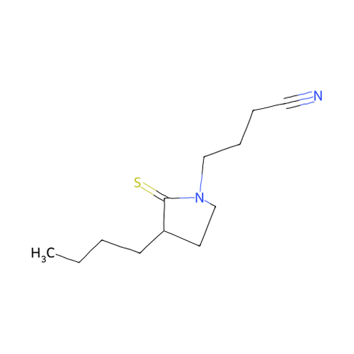 CCCCC1CCN(CCCC#N)C1=S